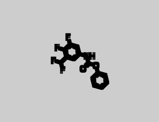 O=C(Nc1cc(F)c(F)c(C(F)F)c1)Oc1ccccc1